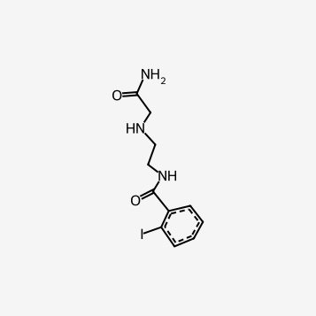 NC(=O)CNCCNC(=O)c1ccccc1I